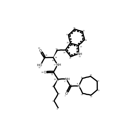 CCCC[C@H](NC(=O)N1CCCCCC1)C(=O)N[C@H](Cc1c[nH]c2ccccc12)C(=O)O